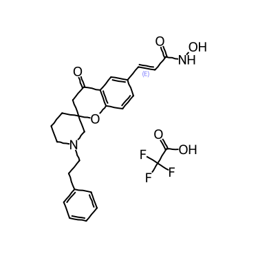 O=C(/C=C/c1ccc2c(c1)C(=O)CC1(CCCN(CCc3ccccc3)C1)O2)NO.O=C(O)C(F)(F)F